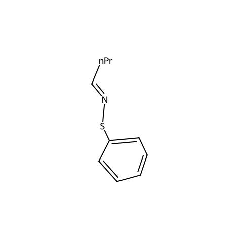 CCCC=NSc1ccccc1